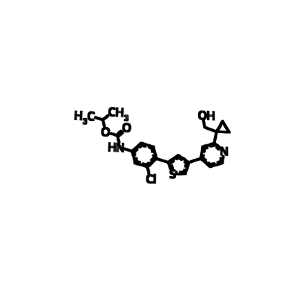 CC(C)OC(=O)Nc1ccc(-c2cc(-c3ccnc(C4(CO)CC4)c3)cs2)c(Cl)c1